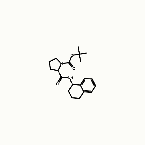 CC(C)(C)OC(=O)N1CCC[C@@H]1C(=O)N[C@@H]1CCCc2ccccc21